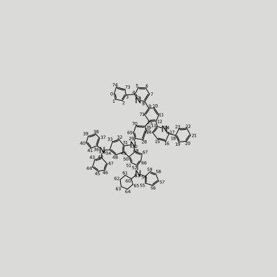 c1ccc(-c2cccc(-c3ccc(-c4cccc(-c5ccccc5)n4)c(-c4ccc(-n5c6ccc(N(c7ccccc7)c7ccccc7)cc6c6cc(N(c7ccccc7)C7CCCCC7)ccc65)cc4)c3)n2)cc1